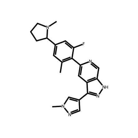 Cc1cc(C2CCCN2C)cc(F)c1-c1cc2c(-c3cnn(C)c3)n[nH]c2cn1